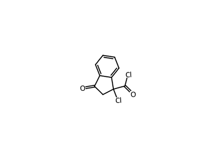 O=C1CC(Cl)(C(=O)Cl)c2ccccc21